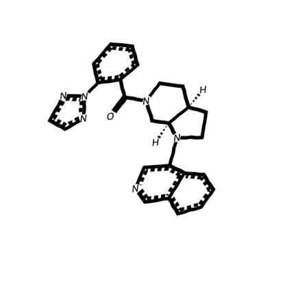 O=C(c1ccccc1-n1nccn1)N1CC[C@H]2CCN(c3cncc4ccccc34)[C@H]2C1